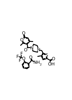 Cc1cc(C(=O)O)sc1CN1CCN(C(=O)c2c(C)cc(=O)oc2C)CC1.NC(=O)c1ccccc1OC(F)(F)F